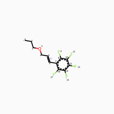 [CH2]CCOC/C=C/c1c(F)c(F)c(F)c(F)c1F